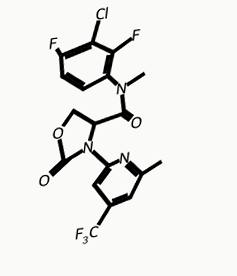 Cc1cc(C(F)(F)F)cc(N2C(=O)OCC2C(=O)N(C)c2ccc(F)c(Cl)c2F)n1